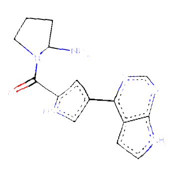 NC1CCCN1C(=O)c1cc(-c2ncnc3[nH]ccc23)c[nH]1